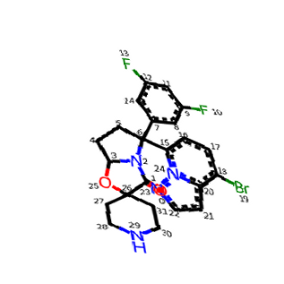 O=C1N2C(CCC2(c2cc(F)cc(F)c2)c2ccc(Br)c3ccnn23)OC12CCNCC2